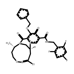 CC/C1=N/OCC[C@H](C)N2C[C@H](C1)n1cc(C(=O)NCc3c(F)cc(F)cc3F)c(=O)c(OCc3ccccc3)c1C2=O